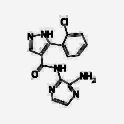 Nc1nccnc1NC(=O)c1cn[nH]c1-c1ccccc1Cl